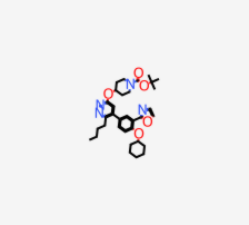 CCCCc1nnc(OC2CCN(C(=O)OC(C)(C)C)CC2)cc1-c1ccc(OC2CCCCC2)c(-c2ncco2)c1